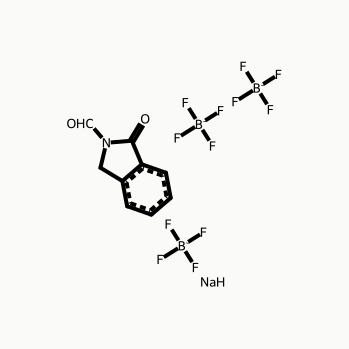 F[B-](F)(F)F.F[B-](F)(F)F.F[B-](F)(F)F.O=CN1Cc2ccccc2C1=O.[NaH]